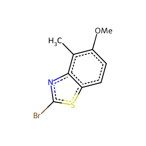 COc1ccc2sc(Br)nc2c1C